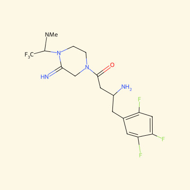 CNC(N1CCN(C(=O)CC(N)Cc2cc(F)c(F)cc2F)CC1=N)C(F)(F)F